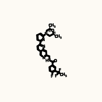 C[C@@H]1CN(c2cccc(-c3ccc4cnc(CNC(=O)c5ccc(F)c(C(C)(F)F)c5)cc4n3)n2)C[C@H](C)O1